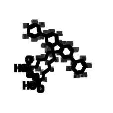 O=S(=O)(O)CCCCCC1(CCCCS(=O)(=O)O)c2cc(-c3ccccc3)ccc2-c2ccc(-c3ccccc3)cc21